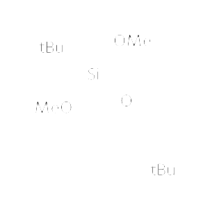 CO[Si](OC)(OCC(C)(C)C)C(C)(C)C